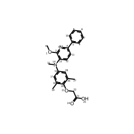 COc1nc(-c2ccccc2)ccc1N(C)c1cc(C)c(OCC(=O)O)c(C)c1